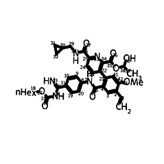 C=Cc1cc(C(=O)Nc2ccc(C(=N)NC(=O)OCCCCCC)cc2)c(-c2ccc(C(=O)NCC3CC3)nc2C(=O)OC(C)O)cc1OC